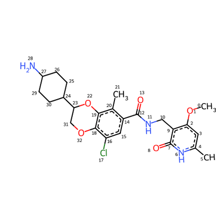 COc1cc(C)[nH]c(=O)c1CNC(=O)c1cc(Cl)c2c(c1C)OC(C1CCC(N)CC1)CO2